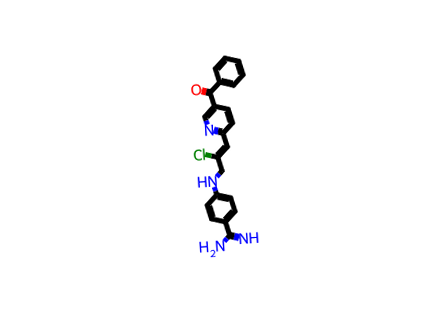 N=C(N)c1ccc(NCC(Cl)=Cc2ccc(C(=O)c3ccccc3)cn2)cc1